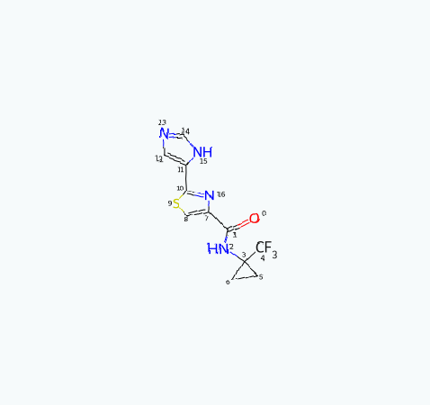 O=C(NC1(C(F)(F)F)CC1)c1csc(-c2cnc[nH]2)n1